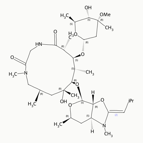 CO[C@]1(C)C[C@H](O[C@H]2[C@H](C)[C@@H](O[C@@H]3O[C@H](C)C[C@H]4[C@H]3O/C(=C\C(C)C)N4C)[C@](C)(O)C[C@@H](C)CN(C)C(=O)CNC(=O)[C@@H]2C)O[C@@H](C)[C@@H]1O